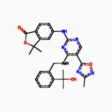 Cc1noc(-c2cnc(Nc3ccc4c(c3)C(C)(C)OC4=O)nc2[AsH]Cc2ccccc2C(C)(C)O)n1